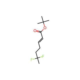 CC(F)(F)CC/C=C/C(=O)OC(C)(C)C